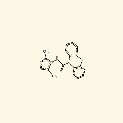 Cc1nnc(C)n1NC(=O)N1c2ccccc2Sc2ccccc21